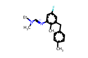 CCN(C)/C=N/c1cc(F)cc(Cc2ccc(C)cc2)c1C